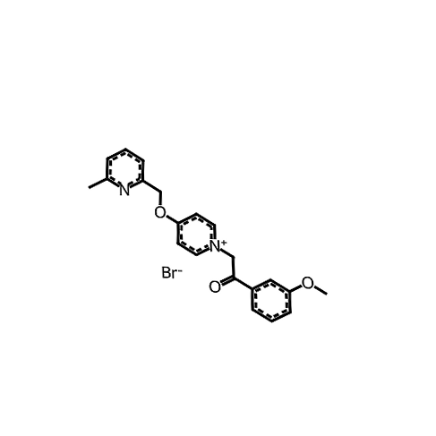 COc1cccc(C(=O)C[n+]2ccc(OCc3cccc(C)n3)cc2)c1.[Br-]